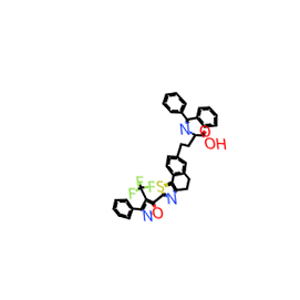 O=C(O)C(CCc1ccc2c(c1)CCc1nc(-c3onc(-c4ccccc4)c3C(F)(F)F)sc1-2)N=C(c1ccccc1)c1ccccc1